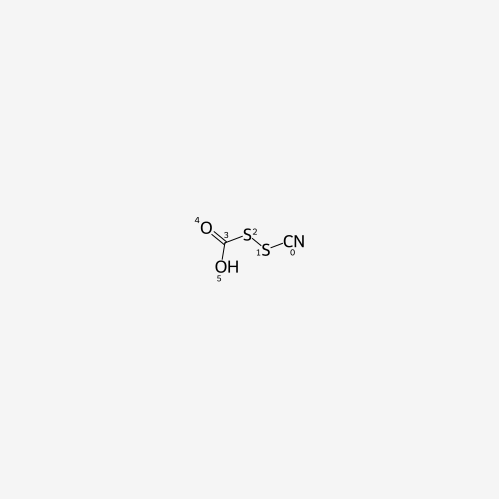 N#CSSC(=O)O